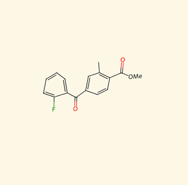 COC(=O)c1ccc(C(=O)c2ccccc2F)cc1C